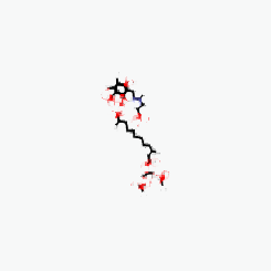 COC(=O)CC/C(C)=C/Cc1c(OC)c(C)c2c(c1OCOC(=O)C(C)CCCCCCCC(C)CC(=O)OC(COC(C)=O)COC(C)=O)C(=O)OC2